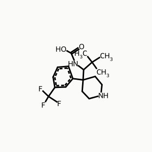 CC(C)(C)C(NC(=O)O)C1(c2cccc(C(F)(F)F)c2)CCNCC1